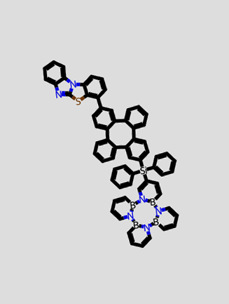 C1=CB2N(C=C1)B1C=CC=CN1B1C=CC([Si](c3ccccc3)(c3ccccc3)c3ccc4c(c3)-c3ccccc3-c3ccc(-c5cccc6c5sc5nc7ccccc7n56)cc3-c3ccccc3-4)=CN1B1C=CC=CN21